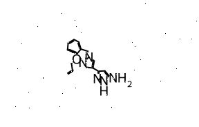 C=CCOc1ccccc1Cn1cc(-c2cc(N)[nH]n2)cn1